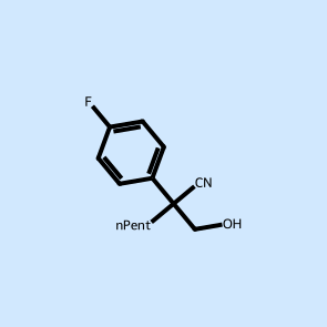 CCCCCC(C#N)(CO)c1ccc(F)cc1